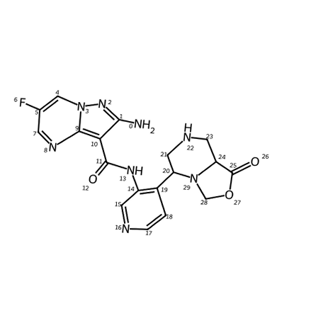 Nc1nn2cc(F)cnc2c1C(=O)Nc1cnccc1C1CNCC2C(=O)OCN21